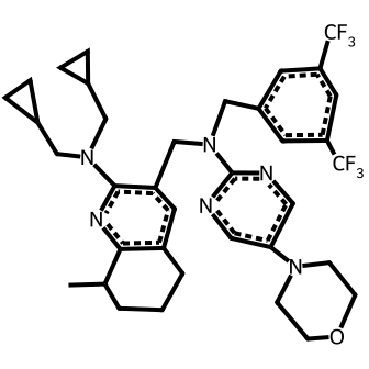 CC1CCCc2cc(CN(Cc3cc(C(F)(F)F)cc(C(F)(F)F)c3)c3ncc(N4CCOCC4)cn3)c(N(CC3CC3)CC3CC3)nc21